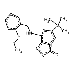 CCOc1ccccc1CNc1nc(C(C)(C)C)cn2c(=O)[nH]nc12